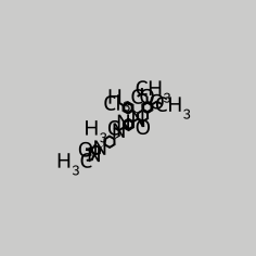 CCN1CN([C@H]2CC[C@H](CN(C)c3ccc(N4C(=O)Cc5cc(OC)c(OC(C)C)cc5[C@@H]4c4ccc(Cl)cc4)cn3)CC2)CC1=O